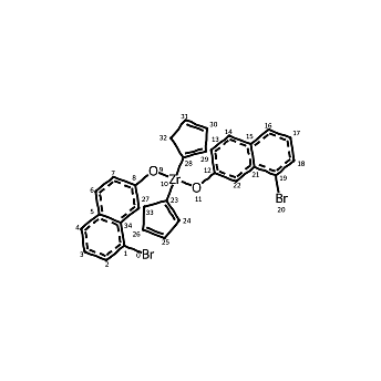 Brc1cccc2ccc([O][Zr]([O]c3ccc4cccc(Br)c4c3)([C]3=CC=CC3)[C]3=CC=CC3)cc12